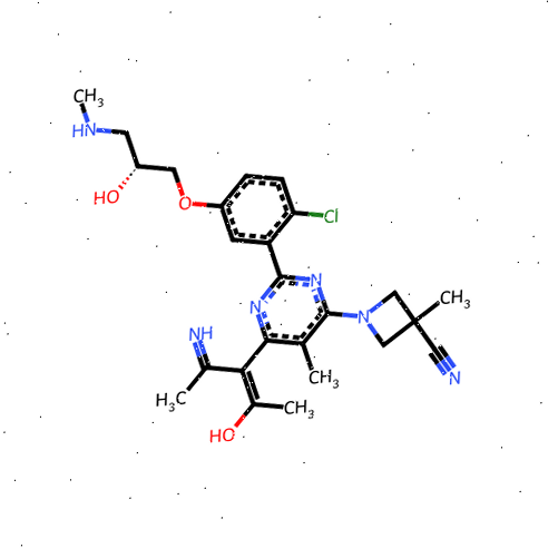 CNC[C@@H](O)COc1ccc(Cl)c(-c2nc(/C(C(C)=N)=C(\C)O)c(C)c(N3CC(C)(C#N)C3)n2)c1